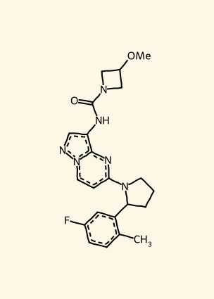 COC1CN(C(=O)Nc2cnn3ccc(N4CCCC4c4cc(F)ccc4C)nc23)C1